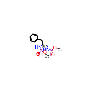 CCO[PH](=O)NC[C@@H](Cc1ccccc1)N[PH](=O)OCC